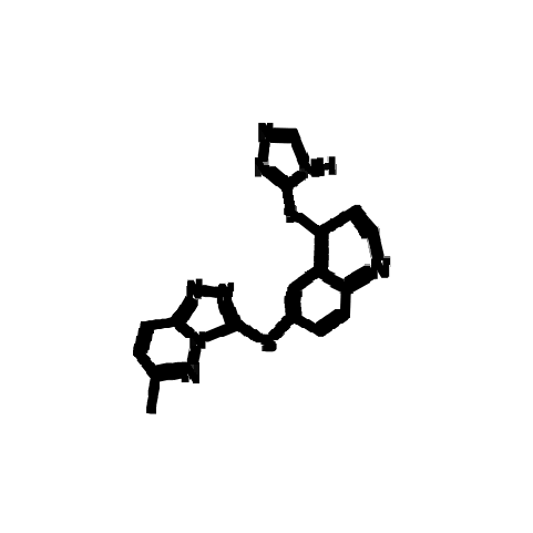 Cc1ccc2nnc(Sc3ccc4nccc(Sc5nnc[nH]5)c4c3)n2n1